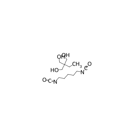 CCC(CO)(CO)CO.O=C=NCCCCCN=C=O